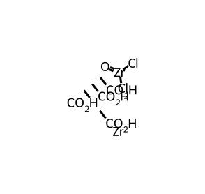 CC(=O)O.CC(=O)O.CC(=O)O.CC(=O)O.[O]=[Zr]([Cl])[Cl].[Zr]